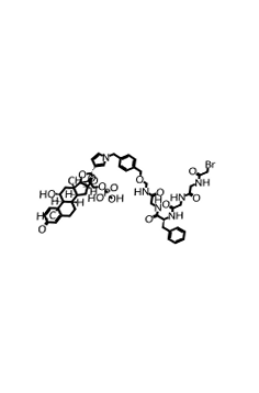 C[C@]12C=CC(=O)C=C1CC[C@@H]1[C@@H]2[C@@H](O)C[C@@]2(C)[C@H]1C[C@H]1O[C@@H](c3ccn(Cc4ccc(COCNC(=O)CNC(=O)[C@H](Cc5ccccc5)NC(=O)CNC(=O)CNC(=O)CBr)cc4)c3)O[C@]12C(=O)COP(=O)(O)O